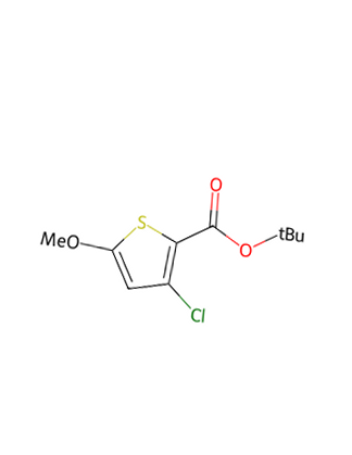 COc1cc(Cl)c(C(=O)OC(C)(C)C)s1